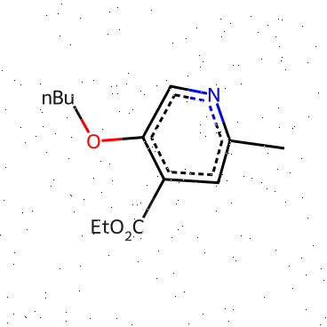 CCCCOc1cnc(C)cc1C(=O)OCC